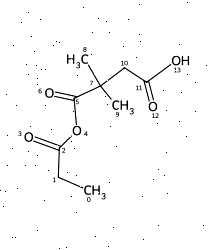 CCC(=O)OC(=O)C(C)(C)CC(=O)O